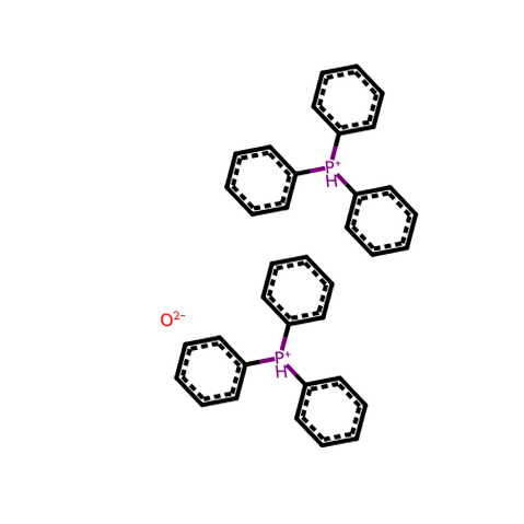 [O-2].c1ccc([PH+](c2ccccc2)c2ccccc2)cc1.c1ccc([PH+](c2ccccc2)c2ccccc2)cc1